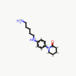 NCCCCCNc1ccc(N2CCCCC2=O)cc1